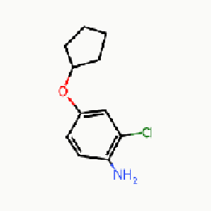 Nc1ccc(OC2CCCC2)cc1Cl